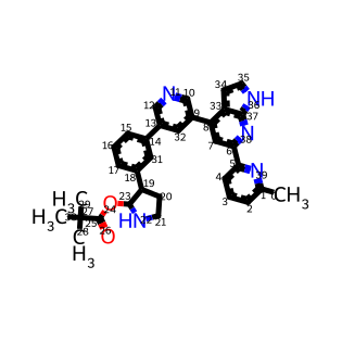 Cc1cccc(-c2cc(-c3cncc(-c4cccc(C5CCNC5OC(=O)C(C)(C)C)c4)c3)c3cc[nH]c3n2)n1